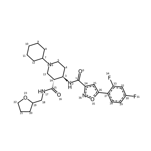 O=C(N[C@@H]1CCN(C2CCCCC2)C[C@H]1C(=O)NCC1CCCO1)c1cc(-c2ccc(F)cc2F)on1